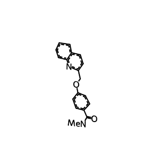 CNC(=O)c1ccc(OCc2ccc3ccccc3n2)cc1